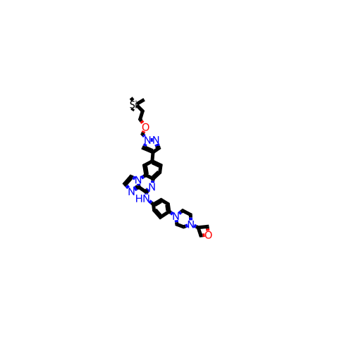 C[Si](C)(C)CCOCn1cc(-c2ccc3nc(Nc4ccc(N5CCN(C6COC6)CC5)cc4)c4nccn4c3c2)cn1